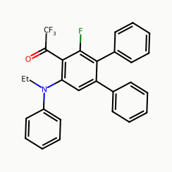 CCN(c1ccccc1)c1cc(-c2ccccc2)c(-c2ccccc2)c(F)c1C(=O)C(F)(F)F